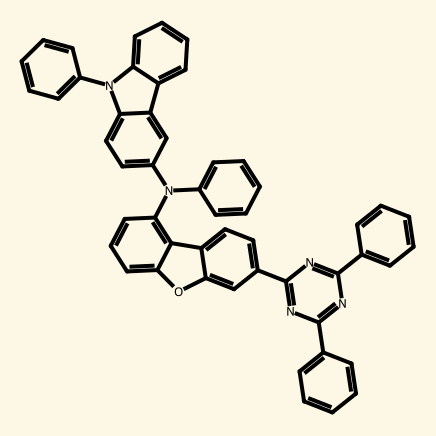 c1ccc(-c2nc(-c3ccccc3)nc(-c3ccc4c(c3)oc3cccc(N(c5ccccc5)c5ccc6c(c5)c5ccccc5n6-c5ccccc5)c34)n2)cc1